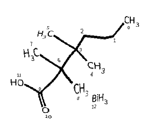 CCCC(C)(C)C(C)(C)C(=O)O.[BiH3]